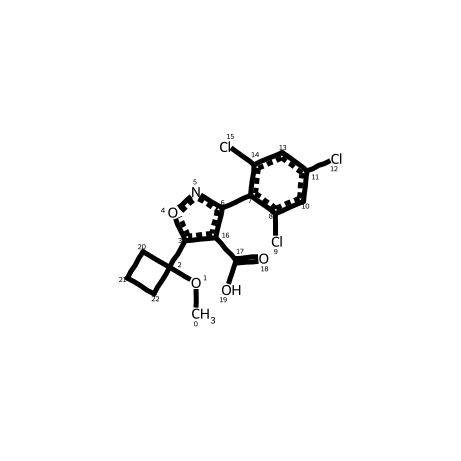 COC1(c2onc(-c3c(Cl)cc(Cl)cc3Cl)c2C(=O)O)CCC1